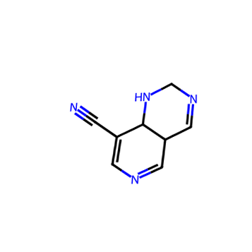 N#CC1=CN=CC2C=NCNC12